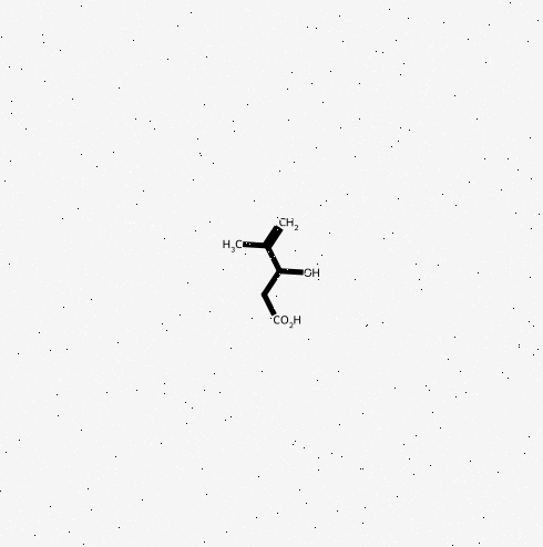 C=C(C)C(O)CC(=O)O